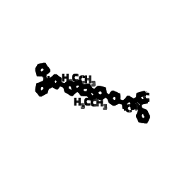 CC1(C)c2cc(-c3ccc(-c4ccc5c(c4)c4ccccc4n5-c4ccccc4)cc3)ccc2-c2cc3c(cc21)-c1ccc(-c2ccc4c(c2)c2ccccc2n4-c2ccccc2)cc1C3(C)C